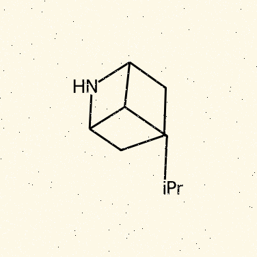 CC(C)CC1C2CCCC1N2